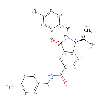 Cc1ccc(CNC(=O)c2cnc3c(c2)C(=O)N(Cc2ccc(Cl)cc2)[C@H]3C(C)C)cc1